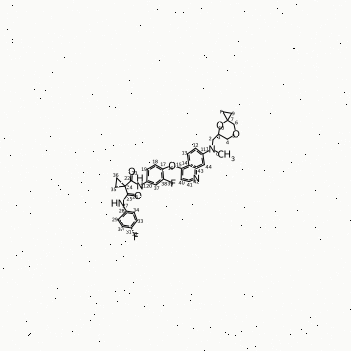 CN(CC1COCC2(CC2)O1)c1ccc2c(Oc3ccc(NC(=O)C4(C(=O)Nc5ccc(F)cc5)CC4)cc3F)ccnc2c1